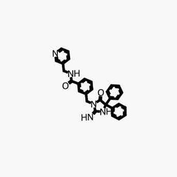 N=C1NC(c2ccccc2)(c2ccccc2)C(=O)N1Cc1cccc(C(=O)NCc2cccnc2)c1